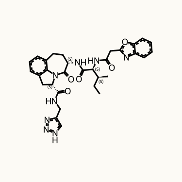 CC[C@H](C)[C@H](NC(=O)Cc1nc2ccccc2o1)C(=O)N[C@H]1CCc2cccc3c2N(C1=O)[C@H](C(=O)NCc1c[nH]nn1)C3